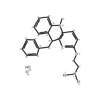 CCN(CC)CCOC1=[C+]C2=C(C=C1)N(C)c1ccccc1C2Cc1ccccc1.Cl.[Cl-]